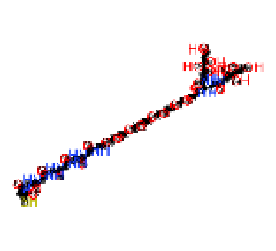 O=C(CC[C@H](NC(=O)CCOCCOCCOCCOCCOCCOCCOCCOCCNC(=O)CNC(=O)CNC(=O)CNC(=O)CNC(=O)CNC(=O)CN1C(=O)CC(S)C1=O)C(=O)NC[C@H](O)[C@@H](O)[C@H](O)CCO)NC[C@H](O)[C@@H](O)[C@H](O)CCO